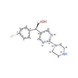 OC[C@H](c1ccc(F)cc1)c1cnc(N2CCNCC2)nc1